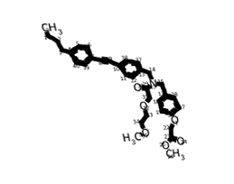 CCCCc1ccc(C#Cc2ccc(CN(Cc3ccc(OCC(=O)OC)cc3)C(=O)COCCOC)cc2)cc1